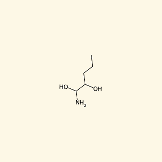 CCCC(O)C(N)O